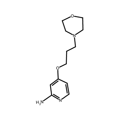 Nc1cc(OCCCN2CCOCC2)ccn1